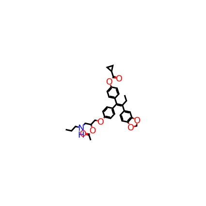 CCCNCC(COc1ccc(/C(=C(/CC)c2ccc3c(c2)OCO3)c2ccc(OC(=O)C3CC3)cc2)cc1)OC(C)=O